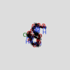 CNC(=O)CCCC(=O)N[C@H](C(=O)NC(C)C(=O)NCc1ccc([C@H]2O[C@@H]2[C@@H](C)[C@@H]2C/C=C/C(=O)N[C@H](Cc3ccc(OC)c(Cl)c3)C(=O)NCC(C)(C)C(=O)N[C@@H](CC(C)(C)C)C(=O)O2)cc1)C(C)C